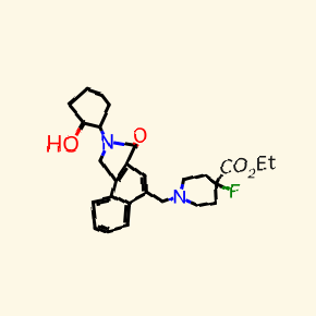 CCOC(=O)C1(F)CCN(Cc2cc3c(c4ccccc24)CN(C2CCCCC2O)C3=O)CC1